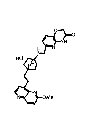 COc1ccc2nccc(CCC34CCC(NCc5ccc6c(n5)NC(=O)CO6)(CC3)CO4)c2n1.Cl